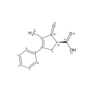 CC1=C(c2ccccc2)C[C@H](C(=O)O)C1=O